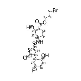 O=C(OCCCBr)c1ccc(NSc2cc(-c3cc(F)ccc3O)c(Cl)s2)cc1O